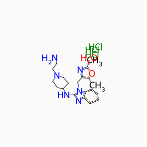 Cc1nc(Cn2c(NC3CCN(CCN)CC3)nc3ccccc32)c(C)o1.Cl.Cl.Cl.O